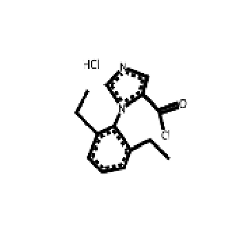 CCc1cccc(CC)c1-n1cncc1C(=O)Cl.Cl